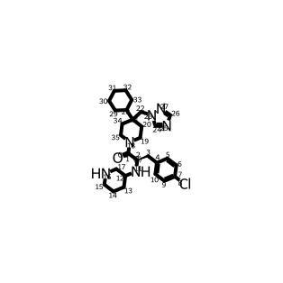 O=C([C@@H](Cc1ccc(Cl)cc1)NC1CCCNC1)N1CCC(Cn2cncn2)(C2CCCCC2)CC1